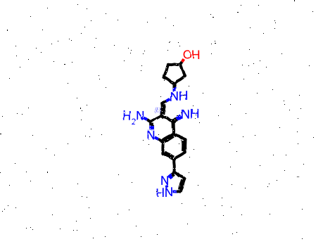 N=C1/C(=C\NC2CCC(O)C2)C(N)=Nc2cc(-c3cc[nH]n3)ccc21